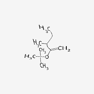 C=C(OC(C)(C)C)C(C)CC